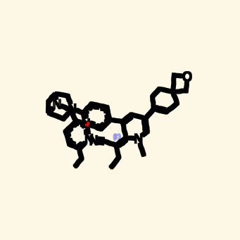 CC/C(C#N)=C1/C(c2ccc(N3CC4CC(C3)N4Cc3ccc(CC)nc3)nc2)=CC(C2=CCC3(CC2)COC3)=CN1C